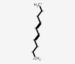 [CH2]CCC=CC=CCCC